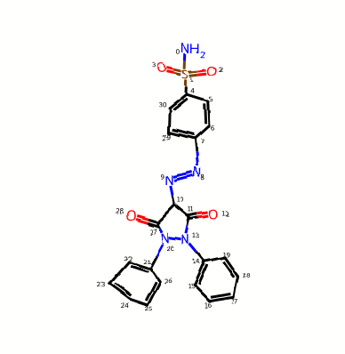 NS(=O)(=O)c1ccc(/N=N/C2C(=O)N(c3ccccc3)N(c3ccccc3)C2=O)cc1